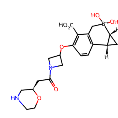 O=C(O)c1c(OC2CN(C(=O)C[C@@H]3CNCCO3)C2)ccc2c1C[B-](O)(O)[C@@H]1C[C@H]21